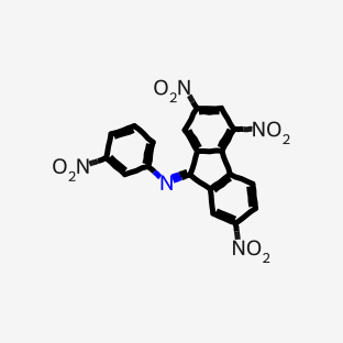 O=[N+]([O-])c1cccc(N=C2c3cc([N+](=O)[O-])ccc3-c3c2cc([N+](=O)[O-])cc3[N+](=O)[O-])c1